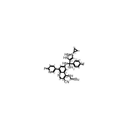 BC(Nc1cc(-c2ccc(F)nc2)c2ncc(C#N)c(NCC(C)(C)C)c2c1)(C1=CN(C2CC2)NN1)c1ccc(F)cc1